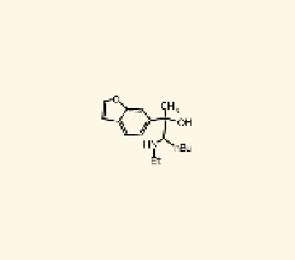 CCCCC(NCC)C(C)(O)c1ccc2ccoc2c1